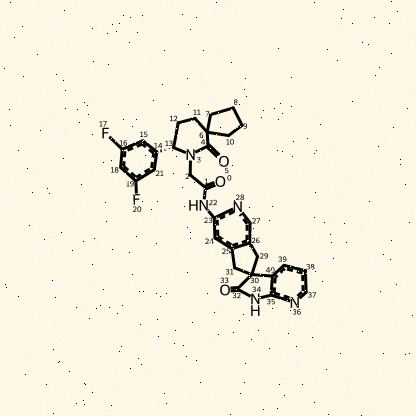 O=C(CN1C(=O)C2(CCCC2)CC[C@H]1c1cc(F)cc(F)c1)Nc1cc2c(cn1)CC1(C2)C(=O)Nc2ncccc21